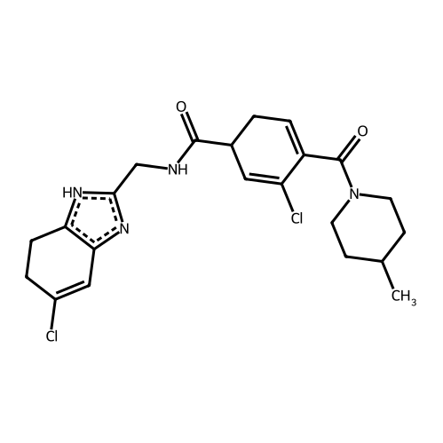 CC1CCN(C(=O)C2=CCC(C(=O)NCc3nc4c([nH]3)CCC(Cl)=C4)C=C2Cl)CC1